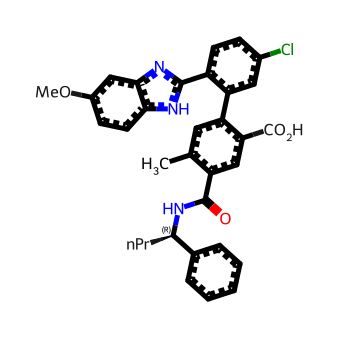 CCC[C@@H](NC(=O)c1cc(C(=O)O)c(-c2cc(Cl)ccc2-c2nc3cc(OC)ccc3[nH]2)cc1C)c1ccccc1